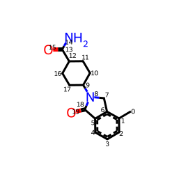 Cc1cccc2c1CN(C1CCC(C(N)=O)CC1)C2=O